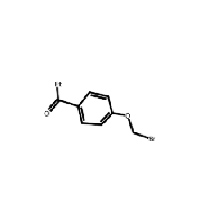 CCC(=O)c1ccc(OCBr)cc1